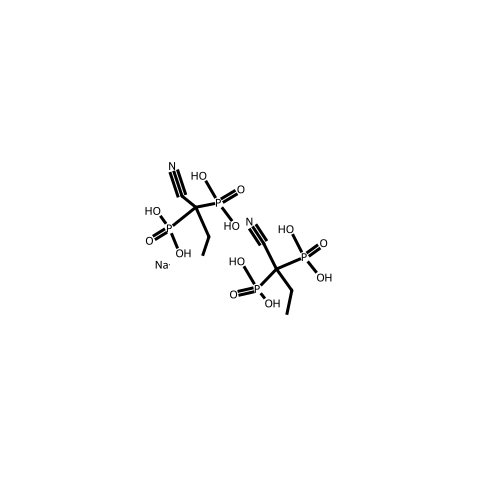 CCC(C#N)(P(=O)(O)O)P(=O)(O)O.CCC(C#N)(P(=O)(O)O)P(=O)(O)O.[Na]